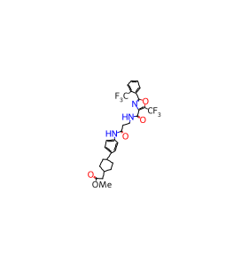 COC(=O)CC1CCC(c2ccc(NC(=O)CCNC(=O)c3nc(-c4ccccc4C(F)(F)F)oc3C(F)(F)F)cc2)CC1